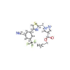 CCOC(=O)c1cnn(Cc2nc(-c3cc(C#N)cc(C(F)(F)F)c3)cs2)c1